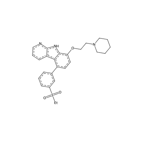 CCS(=O)(=O)c1cccc(-c2ccc(OCCN3CCCCC3)c3[nH]c4ncccc4c23)c1